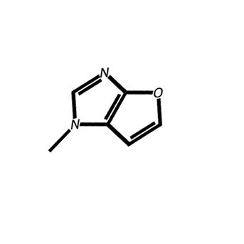 Cn1cnc2occc21